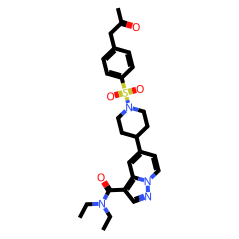 CCN(CC)C(=O)c1cnn2ccc(C3CCN(S(=O)(=O)c4ccc(CC(C)=O)cc4)CC3)cc12